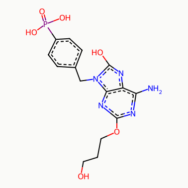 Nc1nc(OCCCO)nc2c1nc(O)n2Cc1ccc(P(=O)(O)O)cc1